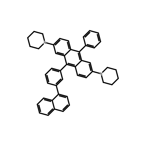 c1ccc(-c2c3ccc(N4CCCCC4)cc3c(-c3cccc(-c4cccc5ccccc45)c3)c3ccc(N4CCCCC4)cc23)cc1